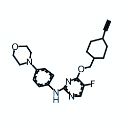 C#CC1CCC(COc2nc(Nc3ccc(N4CCOCC4)cc3)ncc2F)CC1